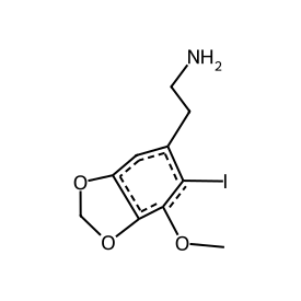 COc1c(I)c(CCN)cc2c1OCO2